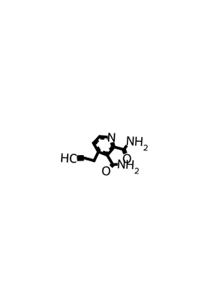 C#CCc1ccnc(C(N)=O)c1C(N)=O